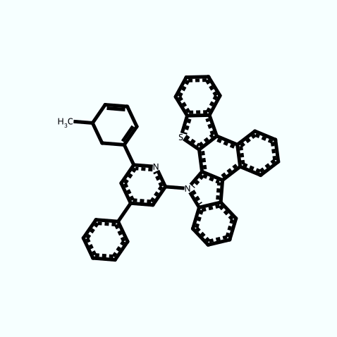 CC1C=CC=C(c2cc(-c3ccccc3)cc(-n3c4ccccc4c4c5ccccc5c5c6ccccc6sc5c43)n2)C1